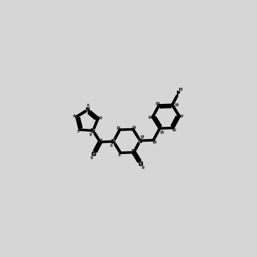 O=C1CN(C(=O)n2ccnc2)CCN1Cc1ccc(F)cc1